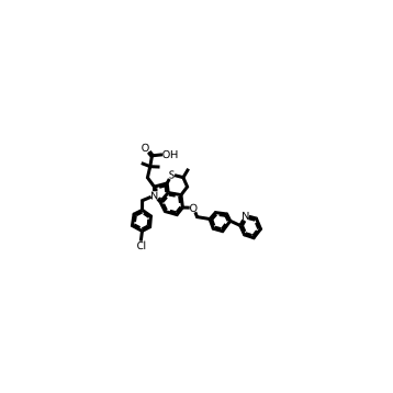 CC1Cc2c(OCc3ccc(-c4ccccn4)cc3)ccc3c2c(c(CC(C)(C)C(=O)O)n3Cc2ccc(Cl)cc2)S1